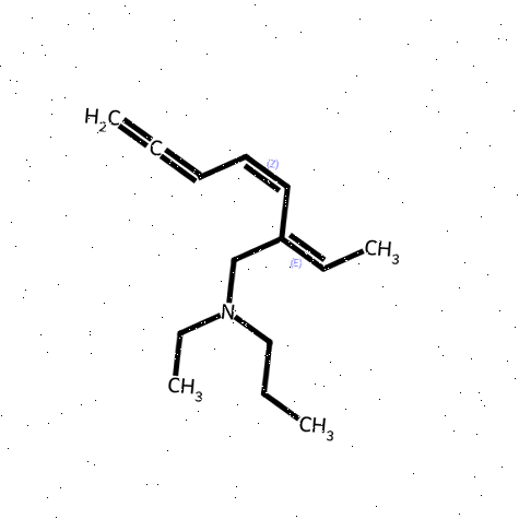 C=C=C/C=C\C(=C/C)CN(CC)CCC